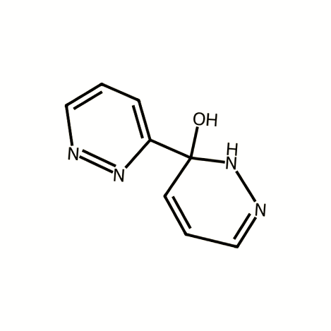 OC1(c2cccnn2)C=CC=NN1